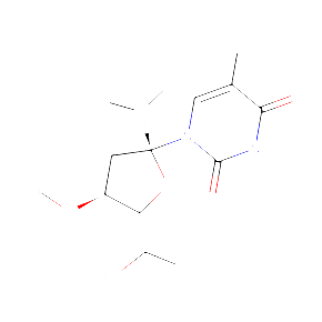 Cc1cn([C@@]2([SiH](C)C)C[C@H](OC(C)(C)C)[C@@H](C(O)C=O)O2)c(=O)[nH]c1=O